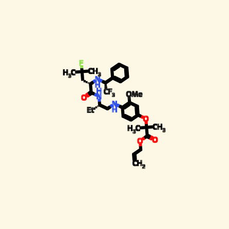 C=CCOC(=O)C(C)(C)Oc1ccc(NC[C@H](CC)NC(=O)[C@H](CC(C)(C)F)N[C@@H](c2ccccc2)C(F)(F)F)c(OC)c1